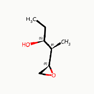 CC[C@H](O)[C@@H](C)[C@@H]1CO1